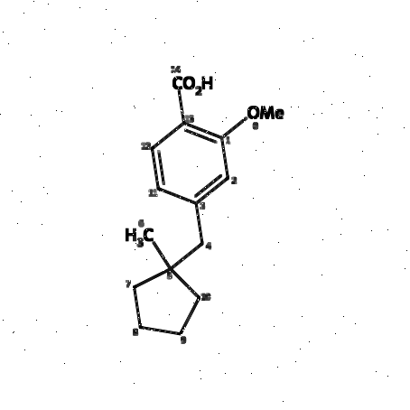 COc1cc(CC2(C)CCCC2)ccc1C(=O)O